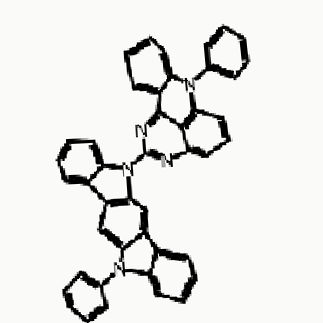 c1ccc(N2c3ccccc3-c3nc(-n4c5ccccc5c5cc6c(cc54)c4ccccc4n6-c4ccccc4)nc4cccc2c34)cc1